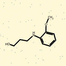 COc1ccccc1NCCCO